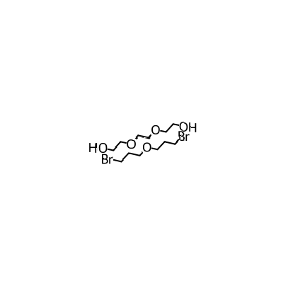 BrCCCOCCCBr.OCCOCCOCCO